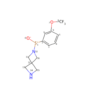 [O-][S+](c1cccc(OC(F)(F)F)c1)N1CC2(CNC2)C1